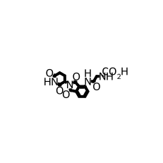 O=C(O)NCC(=O)Nc1cccc2c1C(=O)N(C1CCC(=O)NC1=O)C2=O